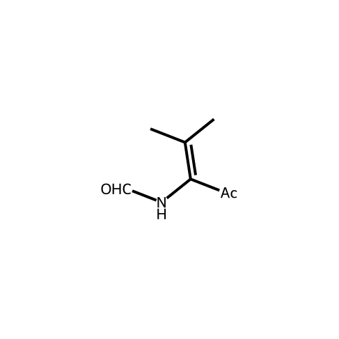 CC(=O)C(NC=O)=C(C)C